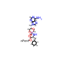 CCCCCOC(=O)[C@H](Cc1ccccc1)NP1(=O)CO[C@@H](Cn2cnc3c(N)ncnc32)CO1